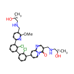 COc1nc(-c2cccc(-c3cccc(-c4ccn5c(=O)c(CNC[C@H](C)O)cnc5c4)c3Cl)c2Cl)ccc1CNC[C@@H](C)O